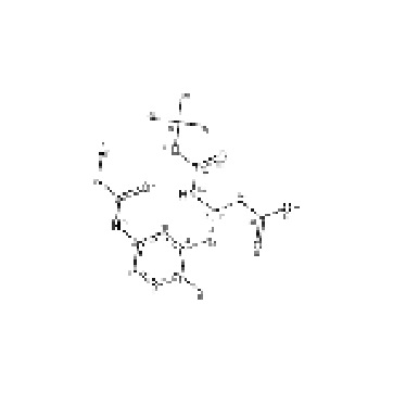 Cc1ccc(NC(=O)CBr)cc1C[C@@H](CC(=O)O)NC(=O)OC(C)(C)C